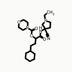 CCN1CCC(C#N)(NC(=O)C(CCC2CCCCC2)OC(=O)N2CCOCC2)C1